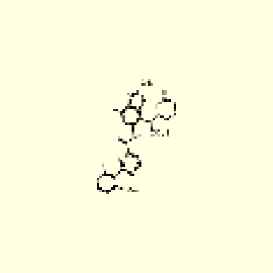 COc1cccc(F)c1-c1nccc(C(=O)Nc2cc(I)c3nn(C)cc3c2N(C(=O)O)C2CCCNC2)n1